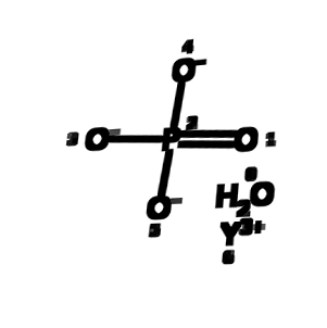 O.O=P([O-])([O-])[O-].[Y+3]